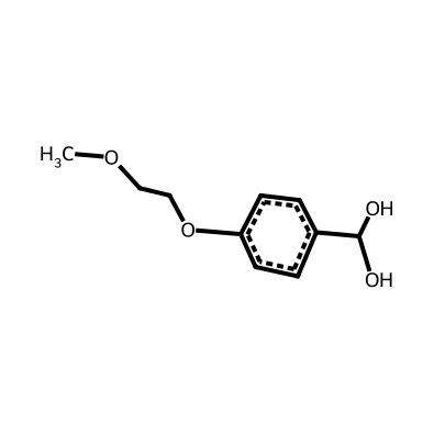 COCCOc1ccc(C(O)O)cc1